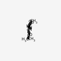 CN(C)CCOC(=O)N1CCC(Oc2ncnc3c2cnn3-c2ccc(S(C)(=O)=O)cc2)CC1